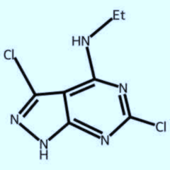 CCNc1nc(Cl)nc2[nH]nc(Cl)c12